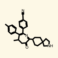 Cc1ccc(C2=C(c3ccc(C#N)cc3)N=C(C3CCC4(CCNC4)CC3)C(=O)CC2C)cc1